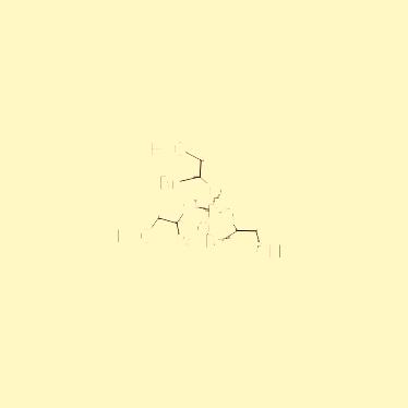 CCC(Br)OP(=O)(OC(Br)CC)OC(Br)CC